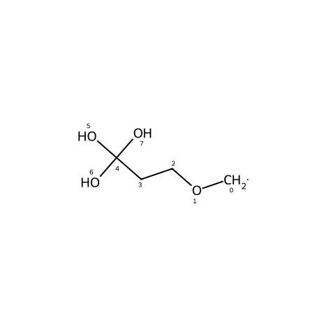 [CH2]OCCC(O)(O)O